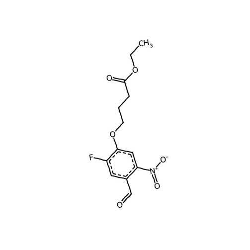 CCOC(=O)CCCOc1cc([N+](=O)[O-])c(C=O)cc1F